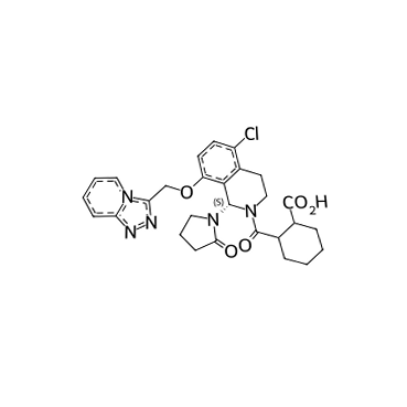 O=C(O)C1CCCCC1C(=O)N1CCc2c(Cl)ccc(OCc3nnc4ccccn34)c2[C@H]1N1CCCC1=O